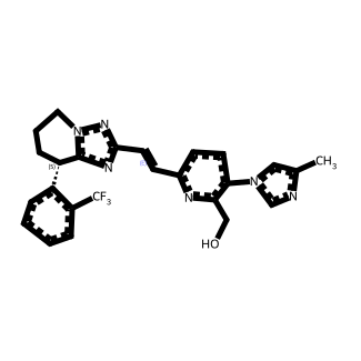 Cc1cn(-c2ccc(/C=C/c3nc4n(n3)CCC[C@H]4c3ccccc3C(F)(F)F)nc2CO)cn1